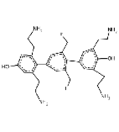 NCCc1cc(-c2c(CF)cc(-c3c(CCN)cc(O)cc3CCN)cc2CF)cc(CCN)c1O